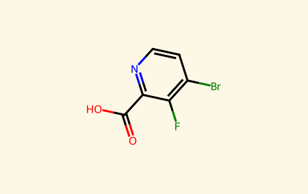 O=C(O)c1nccc(Br)c1F